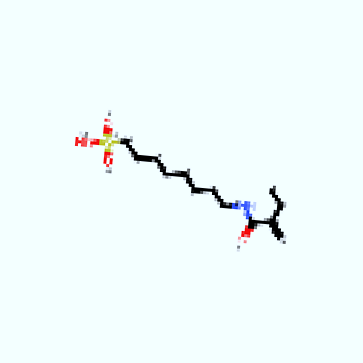 C=C(CC)C(=O)NCCCCCCCCS(=O)(=O)O